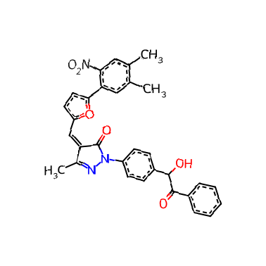 CC1=NN(c2ccc(C(O)C(=O)c3ccccc3)cc2)C(=O)C1=Cc1ccc(-c2cc(C)c(C)cc2[N+](=O)[O-])o1